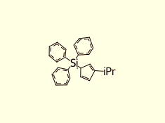 CC(C)C1=C[C]([Si](c2ccccc2)(c2ccccc2)c2ccccc2)C=C1